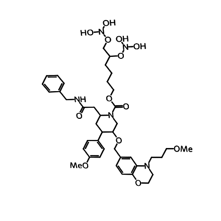 COCCCN1CCOc2ccc(COC3CN(C(=O)OCCCCC(CON(O)O)ON(O)O)C(CC(=O)NCc4ccccc4)CC3c3ccc(OC)cc3)cc21